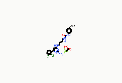 CSc1ccc(NC(=O)NCCCCNc2cc(-c3cccc(Cl)c3Cl)nc(N)n2)cc1.O=C(O)C(F)(F)F